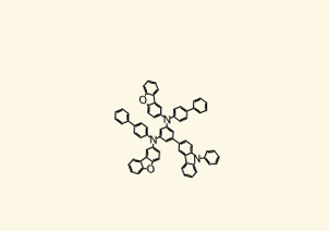 c1ccc(-c2ccc(N(c3cc(-c4ccc5c(c4)c4ccccc4n5-c4ccccc4)cc(N(c4ccc(-c5ccccc5)cc4)c4ccc5oc6ccccc6c5c4)c3)c3ccc4oc5ccccc5c4c3)cc2)cc1